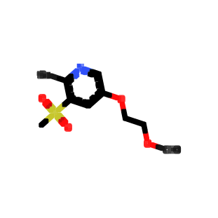 CC(C)(C)c1ncc(OCCOC=O)cc1S(C)(=O)=O